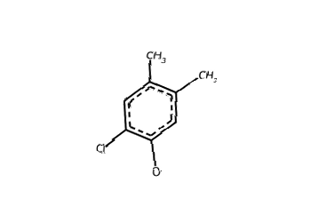 Cc1cc([O])c(Cl)cc1C